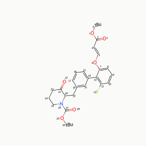 CC(C)(C)OC(=O)/C=C/Oc1cccc(F)c1-c1cccc(CC2C(=O)CCCN2C(=O)OC(C)(C)C)c1